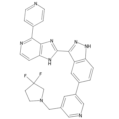 FC1(F)CCN(Cc2cncc(-c3ccc4[nH]nc(-c5nc6c(-c7ccncc7)nccc6[nH]5)c4c3)c2)C1